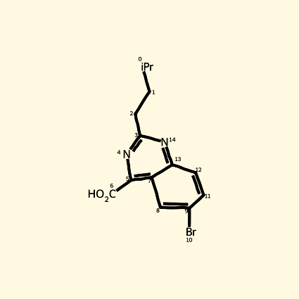 CC(C)CCc1nc(C(=O)O)c2cc(Br)ccc2n1